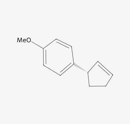 COc1ccc([C@@H]2C=CCC2)cc1